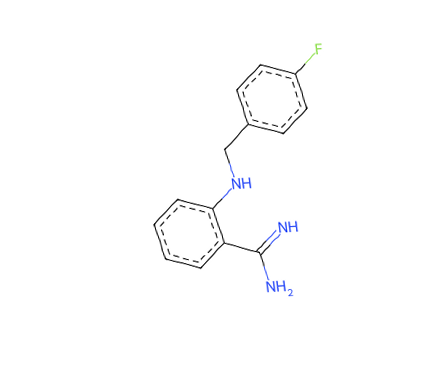 N=C(N)c1ccccc1NCc1ccc(F)cc1